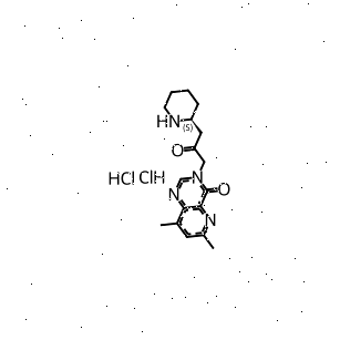 Cc1cc(C)c2ncn(CC(=O)C[C@@H]3CCCCN3)c(=O)c2n1.Cl.Cl